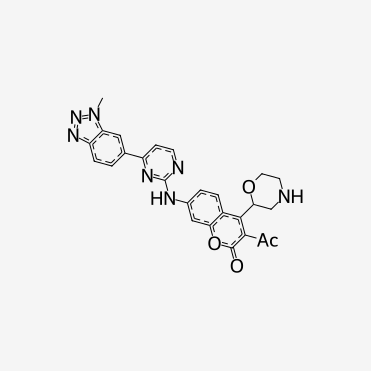 CC(=O)c1c(C2CNCCO2)c2ccc(Nc3nccc(-c4ccc5nnn(C)c5c4)n3)cc2oc1=O